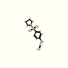 O=C=Nc1ccc(S(=O)(=O)N2CCCC2)cc1